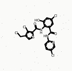 O=C(Nc1ccc(Cl)cn1)c1cc(Cl)cc(O)c1NC(=O)c1scc(CCl)c1Cl